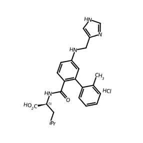 Cc1ccccc1-c1cc(NCc2c[nH]cn2)ccc1C(=O)N[C@@H](CC(C)C)C(=O)O.Cl